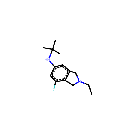 CCN1Cc2cc(NC(C)(C)C)cc(F)c2C1